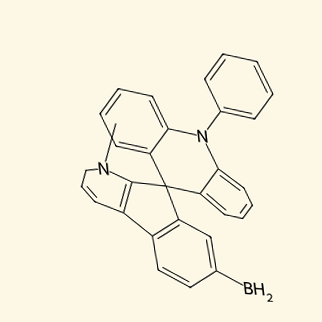 Bc1ccc2c(c1)C1(C3=C2C=CCN3C)c2ccccc2N(c2ccccc2)c2ccccc21